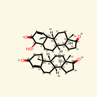 C[C@]12C=CC(=O)C(O)C1CC[C@@H]1[C@H]2CC[C@]2(C)C(=O)CC[C@@H]12.C[C@]12CCC(=O)C=C1CC[C@@H]1[C@H]2CC[C@]2(C)C(=O)CC[C@@H]12